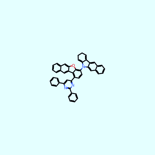 C1=c2c(n(-c3ccc(-c4cc(-c5ccccc5)nc(-c5ccccc5)n4)c4c3oc3cc5ccccc5cc34)c3cc4ccccc4cc23)=CCC1